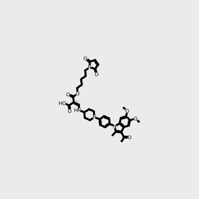 COc1cc2c(C(C)=O)c(C)n(-c3ccc(N4CCC(N/C=C(\C(=O)O)C(=O)OCCCCCN5C(=O)C=CC5=O)CC4)cc3)c2cc1OC